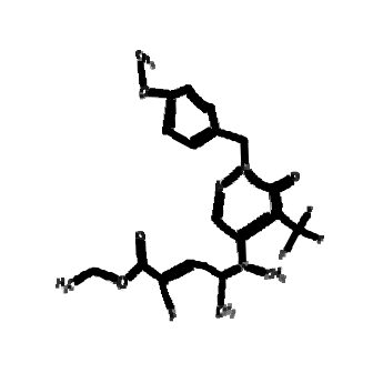 CCOC(=O)/C(F)=C/C(C)N(C)c1cnn(Cc2ccc(OC)cc2)c(=O)c1C(F)(F)F